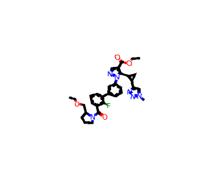 CCOCC1CCCN1C(=O)c1cccc(-c2cccc(-n3ncc(C(=O)OCC)c3C3CC3c3cn(C)nn3)c2)c1F